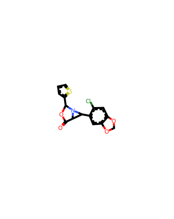 O=C1OC(c2cccs2)N2C1C2c1cc2c(cc1Cl)OCO2